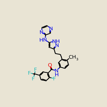 Cc1ccc(NC(=O)c2cc(C(F)(F)F)ccc2F)cc1CCc1cc(Nc2cnccn2)[nH]n1